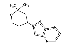 CC1(C)CC(n2cc3nccnc3n2)CCO1